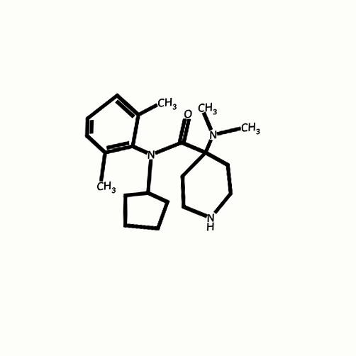 Cc1cccc(C)c1N(C(=O)C1(N(C)C)CCNCC1)C1CCCC1